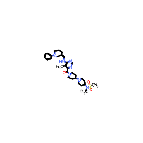 Cc1c(NCC2CCCN(c3ccccc3)C2)ncnc1C(=O)N1CCC(N2CCC(N(C)S(C)(=O)=O)CC2)CC1